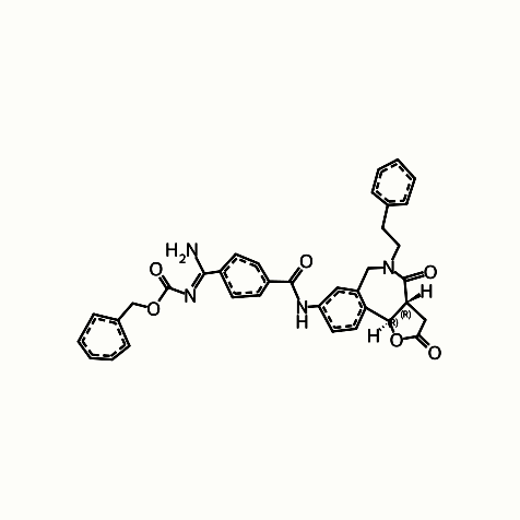 NC(=NC(=O)OCc1ccccc1)c1ccc(C(=O)Nc2ccc3c(c2)CN(CCc2ccccc2)C(=O)[C@@H]2CC(=O)O[C@@H]32)cc1